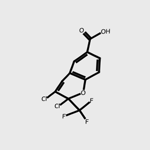 O=C(O)c1ccc2c(c1)C=C(Cl)C(Cl)(C(F)(F)F)O2